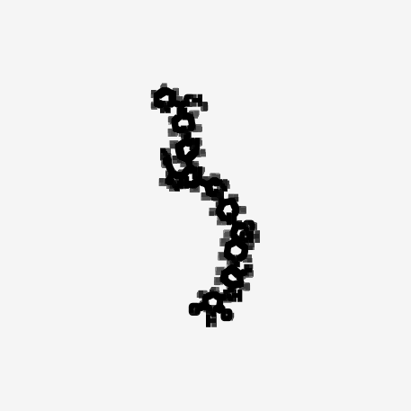 CC(c1ccccn1)N1CCN(c2ccc(-c3nc(-c4cnn(C5CCN(C(=O)CC6(O)CCN(c7ccc(NC8CCC(=O)NC8=O)cc7F)CC6)CC5)c4)cn4ncc(C#N)c34)cn2)CC1